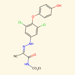 CCOC(=O)NC(=O)/C(C#N)=N\Nc1cc(Cl)c(Oc2ccc(O)cc2)c(Cl)c1